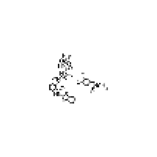 CN(C)Cc1ccc(OCCCc2sc(N3CCc4cccc(C(=O)Nc5nc6ccccc6s5)c4C3)nc2C(=O)NS(=O)(=O)C(F)F)c(F)c1